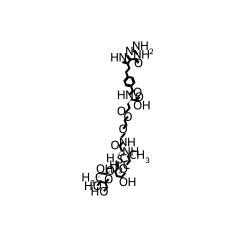 CCC(C)(C)N[C@H](CSCC1OC[C@@H](O)C[C@@H]1O[C@H](OC(CO)CO)[C@H](C)O)C(=O)NCCOCCOC(=O)CC[C@H](NC(=O)c1ccc(CCc2c[nH]c3nc(N)[nH]c(=O)c23)cc1)C(=O)O